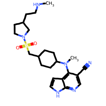 CNCCC1CCN(S(=O)(=O)CC2CCC(N(C)c3c(C#N)cnc4[nH]ccc34)CC2)C1